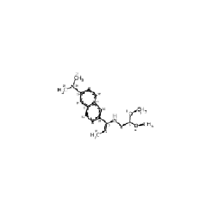 C/C=C(/NCC(OC)OC)c1ccc2cc(N(C)C)ccc2c1